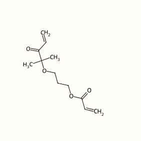 C=CC(=O)OCCCOC(C)(C)C(=O)C=C